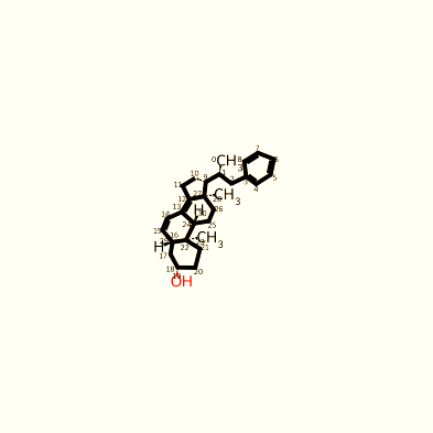 C[C@H](Cc1ccccc1)[C@H]1CCC2=C3C=C[C@H]4C[C@@H](O)CC[C@]4(C)[C@H]3CC[C@@]21C